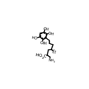 CCC(CCCc1c(O)c(O)cc(O)c1O)CC(CN)C(=O)O